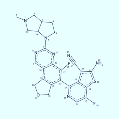 CN1CC2CCN(c3ncc4c5c(c(-c6ncc(F)c7sc(N)c(C#N)c67)c(F)c4n3)COC5)C2C1